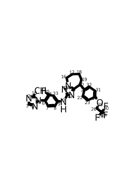 Cc1ncnn1-c1ccc(Nc2nc3n(n2)CCCCC3c2ccc(OCC(F)(F)F)cc2)cc1F